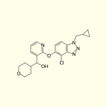 OC(c1cccnc1Oc1ccc2c(nnn2CC2CC2)c1Cl)C1CCOCC1